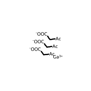 CC(=O)CC(=O)[O-].CC(=O)CC(=O)[O-].CC(=O)CC(=O)[O-].[Ga+3]